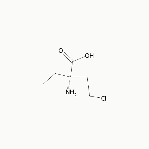 CC[C@](N)(CCCl)C(=O)O